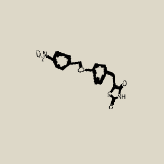 O=C1NC(=O)C(Cc2ccc(OCc3ccc([N+](=O)[O-])cc3)cc2)S1